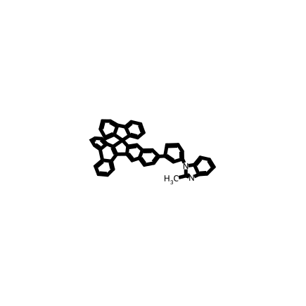 Cc1nc2ccccc2n1-c1cccc(-c2ccc3cc4c(cc3c2)C2(c3ccccc3-c3ccccc32)c2c-4c3ccccc3c3ccccc23)c1